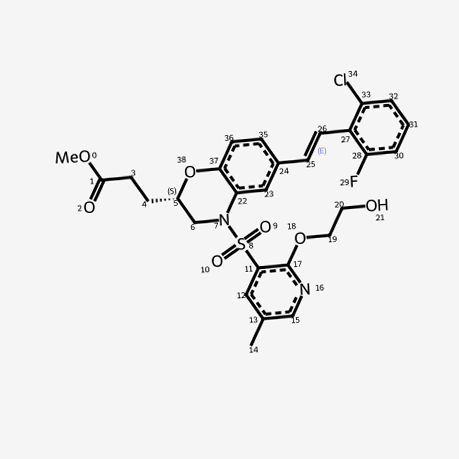 COC(=O)CC[C@H]1CN(S(=O)(=O)c2cc(C)cnc2OCCO)c2cc(/C=C/c3c(F)cccc3Cl)ccc2O1